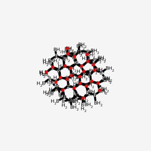 BBB(B)B(B(B)B)B(B(B(B)B)B(B)B)B(B(B(B(B)B)B(B)B)B(B(B)B)B(B)B)B(B(B(B(B(B)B)B(B)B)B(B(B)B)B(B)B)B(B(B(B)B)B(B)B)B(B(B)B)B(B)B)B(B(B(B(B(B)B)B(B)B)B(B(B)B)B(B)B)B(B(B(B)B)B(B)B)B(B(B)B)B(B)B)B(B(B(B(B)B)B(B)B)B(B(B)B)B(B)B)B(B(B(B)B)B(B)B)B(B(B)B)B(B)B